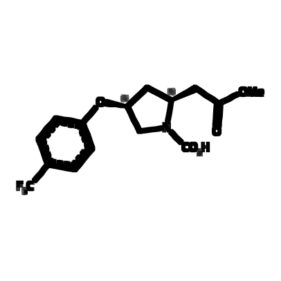 COC(=O)C[C@@H]1C[C@H](Oc2ccc(C(F)(F)F)cc2)CN1C(=O)O